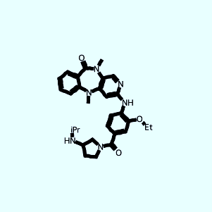 CCOc1cc(C(=O)N2CCC(NC(C)C)C2)ccc1Nc1cc2c(cn1)N(C)C(=O)c1ccccc1N2C